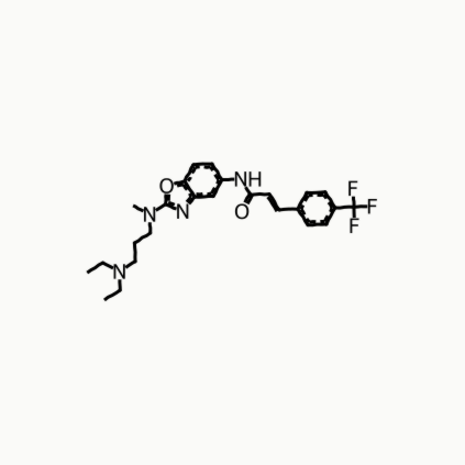 CCN(CC)CCCN(C)c1nc2cc(NC(=O)/C=C/c3ccc(C(F)(F)F)cc3)ccc2o1